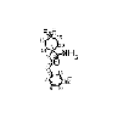 NC(=O)C1(CCCc2cccc(F)c2)CCC(F)(F)CC1